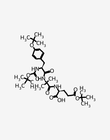 CC(C)(C)OC(=O)CC[C@H](NC(=O)C(C)(C)NC(=O)[C@H](Cc1ccc(OC(C)(C)C)cc1)NC(=O)OC(C)(C)C)C(=O)O